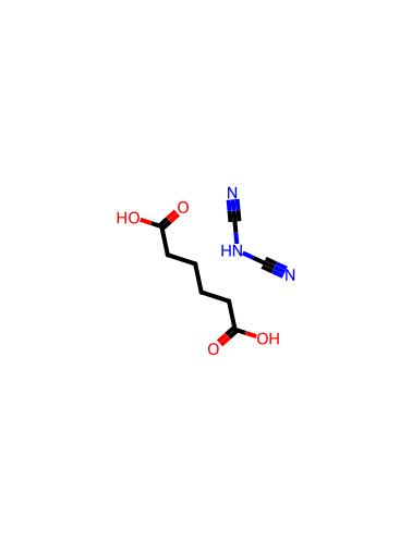 N#CNC#N.O=C(O)CCCCC(=O)O